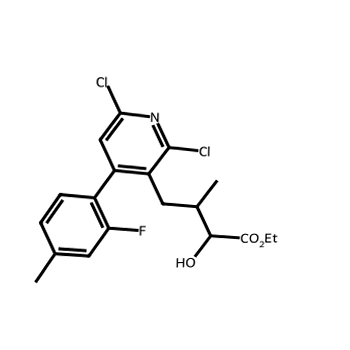 CCOC(=O)C(O)C(C)Cc1c(-c2ccc(C)cc2F)cc(Cl)nc1Cl